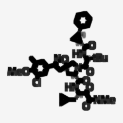 CNC(=O)C(=O)[C@H](CC1CC1)NC(=O)[C@@H]1C[C@]2(CC(c3cc(C)c(OC)c(Cl)c3)=NO2)CN1C(=O)[C@@H](NC(=O)[C@@H]1C[C@H]1c1ccccc1)C(C)(C)C